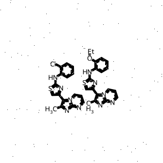 CCOc1ccccc1Nc1nc(-c2c(C)nc3ncccn23)cs1.Cc1nc2ncccn2c1-c1csc(Nc2ccccc2Cl)n1